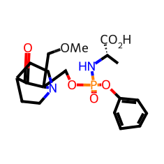 COCC1(COP(=O)(N[C@@H](C)C(=O)O)Oc2ccccc2)C(=O)C2CCN1CC2